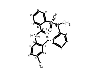 CN(c1ccccc1)S(=O)(=O)c1ccccc1C(=O)Nc1ccc(Cl)cc1F